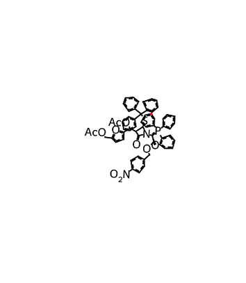 CC(=O)OCc1ccc(C(OC(C)=O)C2C(=O)N(C(C(=O)OCc3ccc([N+](=O)[O-])cc3)=P(c3ccccc3)(c3ccccc3)c3ccccc3)C2SC(c2ccccc2)(c2ccccc2)c2ccccc2)o1